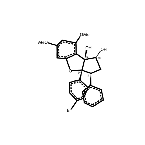 COc1cc(OC)c2c(c1)O[C@@]1(c3ccc(Br)cc3)[C@H](c3ccccc3)C[C@@H](O)[C@@]21O